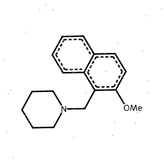 COc1ccc2ccccc2c1CN1CCCCC1